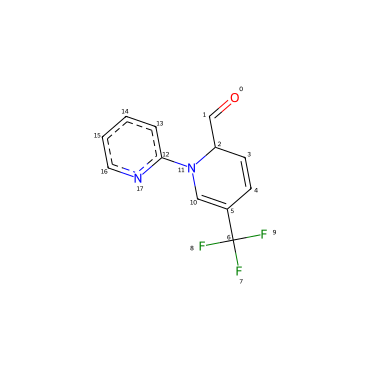 O=CC1C=CC(C(F)(F)F)=CN1c1ccccn1